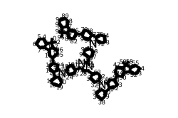 CC1(C)c2ccccc2-c2cc(-c3ccc4c5ccccc5n(-c5ccc(-c6cc(-c7ccc(-n8c9ccccc9c9ccc(-c%10ccc%11c(c%10)-c%10ccccc%10C%11(C)C)cc98)cc7)nc(-c7ccc(-n8c9ccccc9c9ccc(-c%10ccc%11c(c%10)-c%10ccccc%10C%11(C)C)cc98)cc7)n6)cc5)c4c3)ccc21